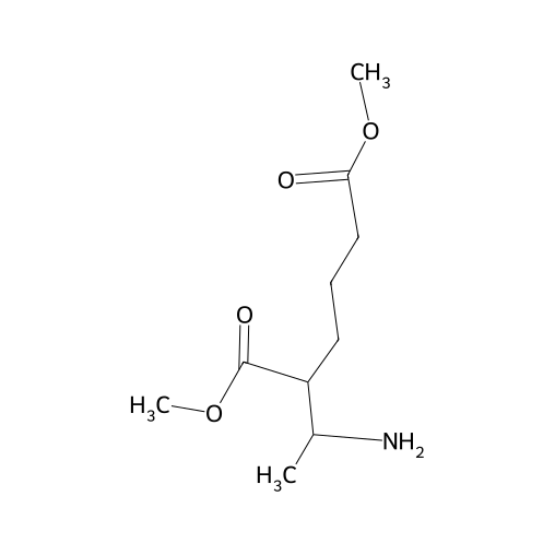 COC(=O)CCCC(C(=O)OC)C(C)N